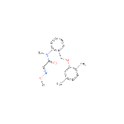 CCON=CC(=O)N(CC)c1ccccc1COc1cc(C)ccc1C